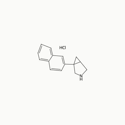 Cl.c1ccc2cc(C34CNCC3C4)ccc2c1